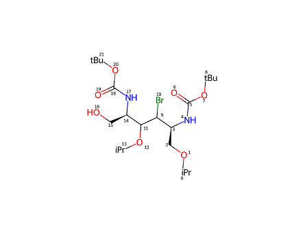 CC(C)OC[C@H](NC(=O)OC(C)(C)C)C(Br)C(OC(C)C)[C@@H](CO)NC(=O)OC(C)(C)C